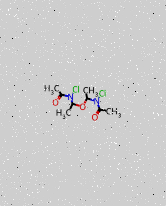 CC(=O)N(Cl)C(C)OC(C)N(Cl)C(C)=O